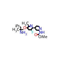 COC(=O)Nc1cc(-c2nc(C)c(OCC(C)(N)CC(C)C)cc2F)ccn1